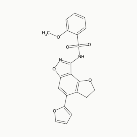 COc1ccccc1S(=O)(=O)Nc1noc2cc(-c3ccco3)c3c(c12)OCC3